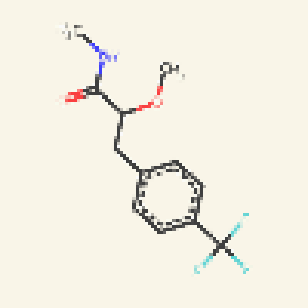 CNC(=O)C(Cc1ccc(C(F)(F)F)cc1)OC